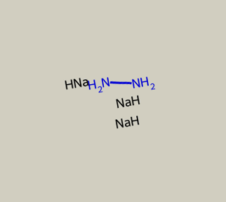 NN.[NaH].[NaH].[NaH]